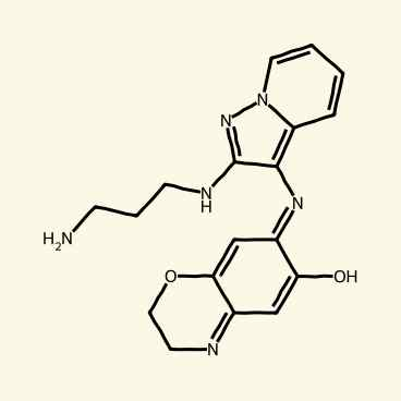 NCCCNc1nn2ccccc2c1/N=C1\C=C2OCCN=C2C=C1O